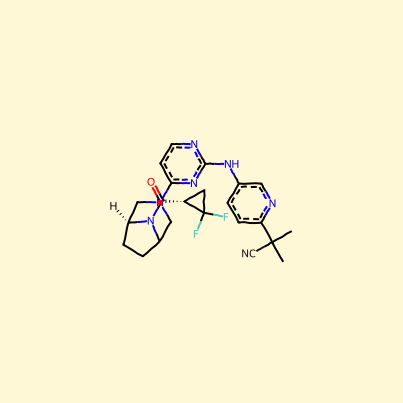 CC(C)(C#N)c1ccc(Nc2nccc(N3CC4CC[C@@H](C3)N4C(=O)[C@@H]3CC3(F)F)n2)cn1